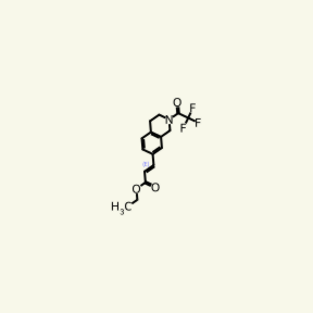 CCOC(=O)/C=C/c1ccc2c(c1)CN(C(=O)C(F)(F)F)CC2